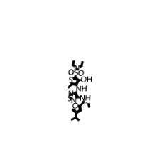 CC[C@@H](Nc1nsnc1Nc1c(C)sc(S(=O)(=O)N(CC)CC)c1O)c1cc(C(C)C)co1